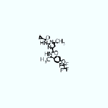 Cc1cc(C(=O)NC(C)c2ccc(OC(F)(F)C(F)F)cc2)nc(NC(=O)C2CC2)n1